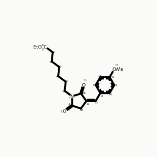 CCOC(=O)CCCCCCN1C(=O)CC(=Cc2ccc(OC)cc2)C1=O